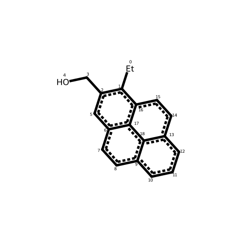 CCc1c(CO)cc2ccc3cccc4ccc1c2c34